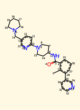 Cc1c(C(=O)NC2CCN(c3ccc(CN4CCCCC4)cn3)CC2)cccc1-c1cccnc1